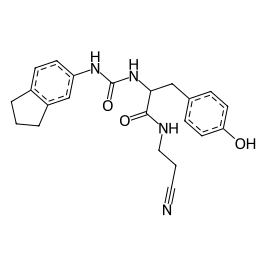 N#CCCNC(=O)C(Cc1ccc(O)cc1)NC(=O)Nc1ccc2c(c1)CCC2